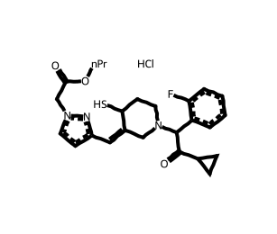 CCCOC(=O)Cn1ccc(C=C2CN(C(C(=O)C3CC3)c3ccccc3F)CCC2S)n1.Cl